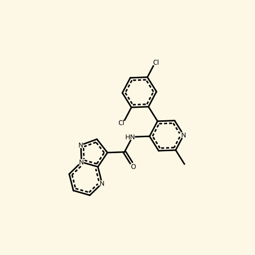 Cc1cc(NC(=O)c2cnn3cccnc23)c(-c2cc(Cl)ccc2Cl)cn1